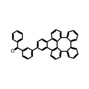 O=C(c1ccccc1)c1cccc(-c2ccc3c(c2)c2cccc4c5ccccc5c5ccccc5c5cccc3c5c42)c1